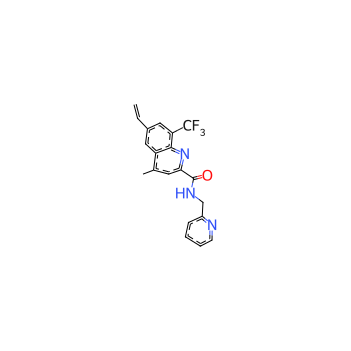 C=Cc1cc(C(F)(F)F)c2nc(C(=O)NCc3ccccn3)cc(C)c2c1